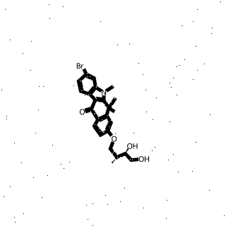 C[C@H](COc1ccc2c(c1)C(C)(C)c1c(c3ccc(Br)cc3n1C)C2=O)[C@H](O)CO